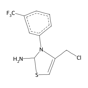 NC1SC=C(CCl)N1c1cccc(C(F)(F)F)c1